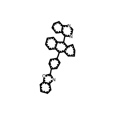 c1ccc2oc(-c3ccc(-c4c5ccccc5c(-c5ncnc6ccccc56)c5ccccc45)cc3)nc2c1